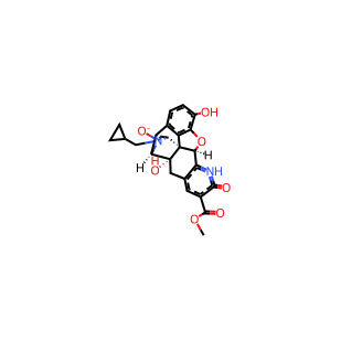 COC(=O)c1cc2c([nH]c1=O)[C@@H]1Oc3c(O)ccc4c3[C@@]13CC[N+]([O-])(CC1CC1)[C@H](C4)[C@]3(O)C2